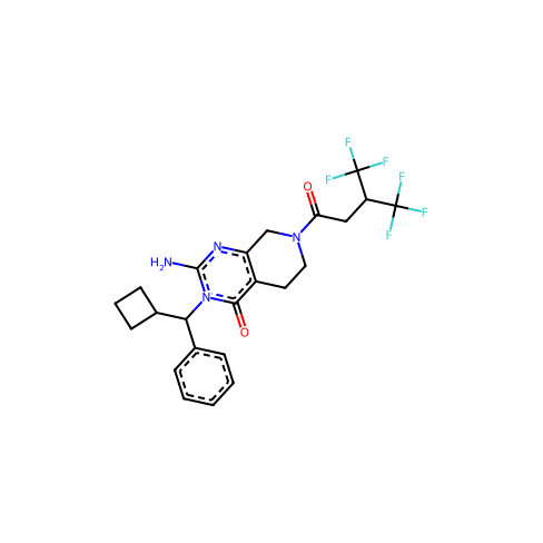 Nc1nc2c(c(=O)n1C(c1ccccc1)C1CCC1)CCN(C(=O)CC(C(F)(F)F)C(F)(F)F)C2